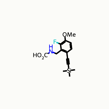 COc1ccc(C#C[Si](C)(C)C)c(CNC(=O)O)c1F